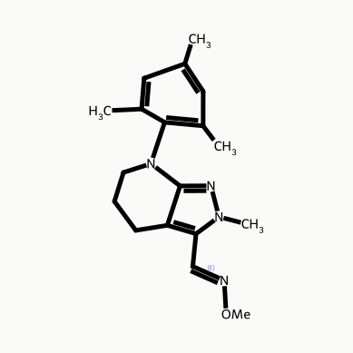 CO/N=C/c1c2c(nn1C)N(c1c(C)cc(C)cc1C)CCC2